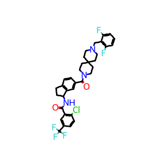 O=C(NC1CCc2ccc(C(=O)N3CCC4(CCN(Cc5c(F)cccc5F)CC4)CC3)cc21)c1cc(C(F)(F)F)ccc1Cl